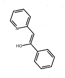 OC(=Cc1ccccn1)c1ccccc1